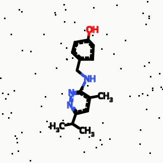 Cc1cc(C(C)C)nnc1NCc1ccc(O)cc1